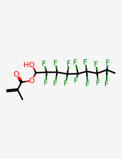 C=C(C)C(=O)OC(O)C(F)(F)C(F)(F)C(F)(F)C(F)(F)C(F)(F)C(F)(F)C(C)(F)F